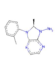 Cc1ccccc1N1c2nccnc2N(N)[C@@H]1C